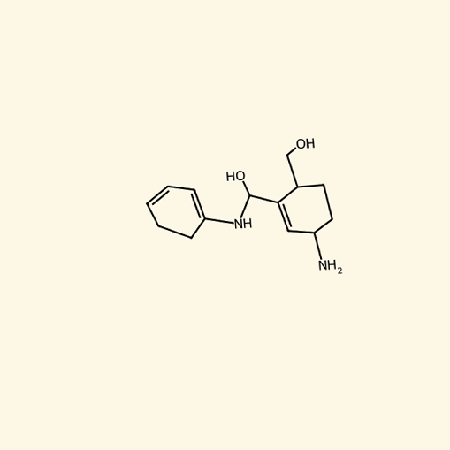 NC1C=C(C(O)NC2=CC=CCC2)C(CO)CC1